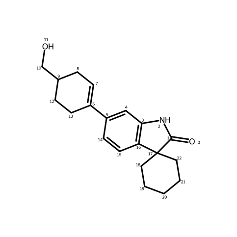 O=C1Nc2cc(C3=CCC(CO)CC3)ccc2C12CCCCC2